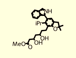 COC(=O)CC(O)CC(O)CCc1c2c(cc(-c3[nH]cc4ccccc34)c1C(C)C)CC(C)(C)O2